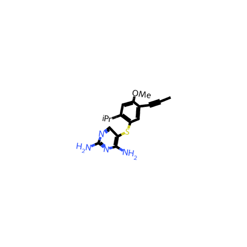 CC#Cc1cc(Sc2cnc(N)nc2N)c(C(C)C)cc1OC